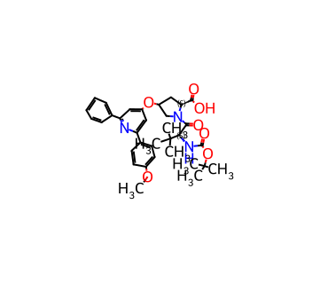 COc1ccc(-c2cc(OC3C[C@@H](C(=O)O)N(C(=O)[C@@H](NC(=O)OC(C)(C)C)C(C)(C)C)C3)cc(-c3ccccc3)n2)cc1